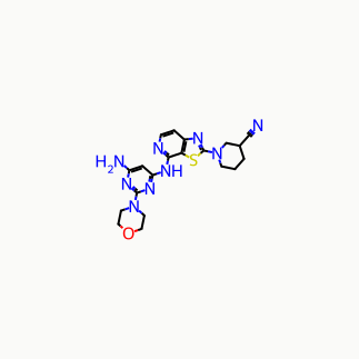 N#CC1CCCN(c2nc3ccnc(Nc4cc(N)nc(N5CCOCC5)n4)c3s2)C1